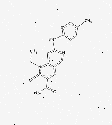 CCn1c(=O)c(C(C)=O)cc2cnc(Nc3ccc(C)cn3)cc21